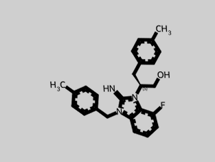 Cc1ccc(C[C@@H](CO)n2c(=N)n(Cc3ccc(C)cc3)c3cccc(F)c32)cc1